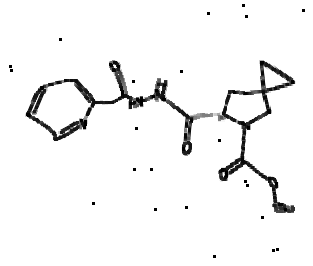 CC(C)(C)OC(=O)N1CC2(CC2)C[C@H]1C(=O)NNC(=O)c1ccccn1